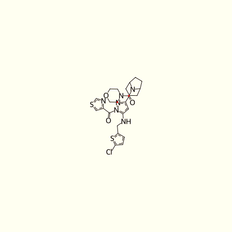 O=C(N1CCOCC1)N1C2CCC1CC(c1cc(NCc3ccc(Cl)s3)n(C(=O)c3cscn3)n1)C2